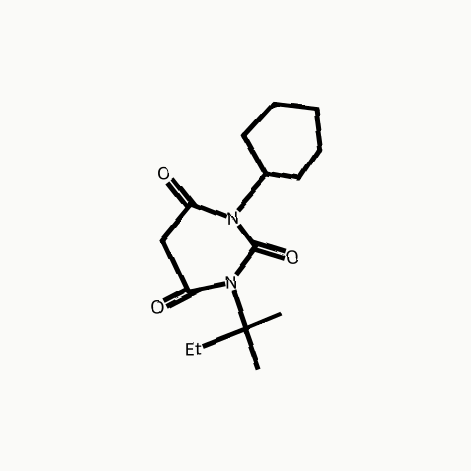 CCC(C)(C)N1C(=O)CC(=O)N(C2CCCCC2)C1=O